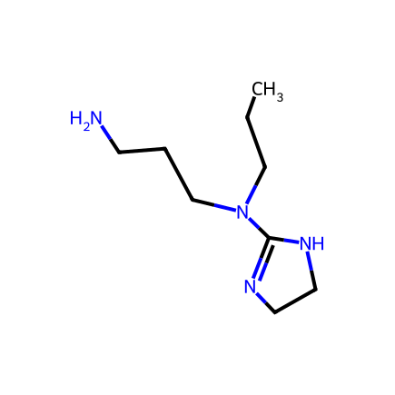 CCCN(CCCN)C1=NCCN1